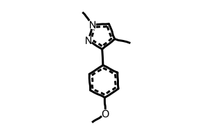 COc1ccc(-c2nn(C)cc2C)cc1